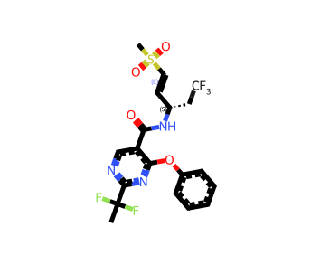 CC(F)(F)c1ncc(C(=O)N[C@H](/C=C/S(C)(=O)=O)CC(F)(F)F)c(Oc2ccccc2)n1